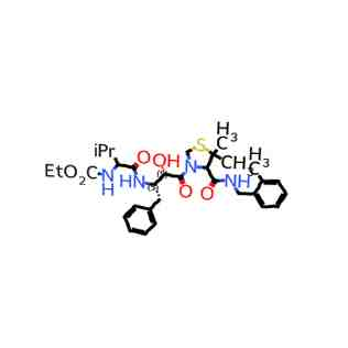 CCOC(=O)NC(C(=O)N[C@@H](Cc1ccccc1)[C@H](O)C(=O)N1CSC(C)(C)C1C(=O)NCc1ccccc1C)C(C)C